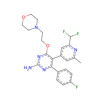 Cc1cc(-c2c(OCCN3CCOCC3)nc(N)nc2-c2ccc(F)cc2)cc(C(F)F)n1